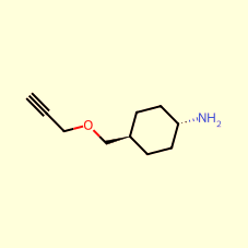 C#CCOC[C@H]1CC[C@H](N)CC1